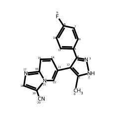 Cc1[nH]nc(-c2ccc(F)cc2)c1-c1ccc2ncc(C#N)n2c1